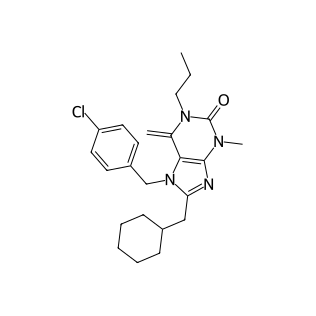 C=C1c2c(nc(CC3CCCCC3)n2Cc2ccc(Cl)cc2)N(C)C(=O)N1CCC